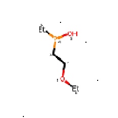 CCOCCP(O)CC